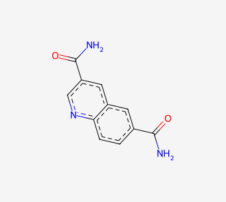 NC(=O)c1ccc2ncc(C(N)=O)cc2c1